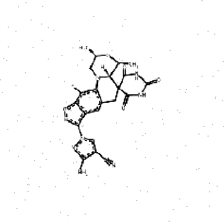 C[C@@H]1CN2c3c(cc4c(-n5cc(C#N)c(N)n5)noc4c3F)CC3(C(=O)NC(=O)NC3=O)[C@H]2[C@H](C)O1